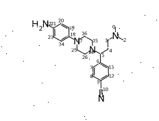 CN(C)CCC(c1ccc(C#N)cc1)N1CCN(c2ccc(N)cc2)CC1